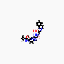 O=C(NC[C@H](O)CN1CCc2ccccc2C1)c1cn2cc(NC(=O)C3CCC3)ccc2n1